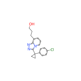 OCCCc1cccn2c(C3(c4ccc(Cl)cc4)CC3)nnc12